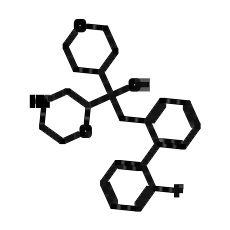 OC(Cc1ccccc1-c1ccccc1F)(C1CCOCC1)C1CNCCO1